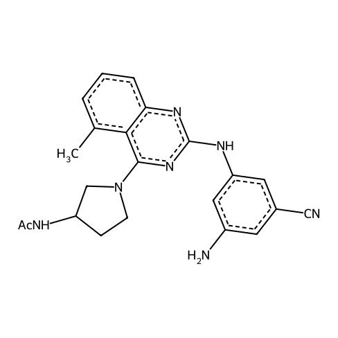 CC(=O)NC1CCN(c2nc(Nc3cc(N)cc(C#N)c3)nc3cccc(C)c23)C1